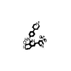 CN1CCC(c2ccc(Nc3nc(-c4cncc(S(C)(=O)=O)c4)cc4c3C(=O)[N]C=C4)cc2)CC1